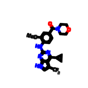 COc1cc(C(=O)N2CCOCC2)ccc1Nc1nc(C2CC2)c2c(C(F)(F)F)c[nH]c2n1